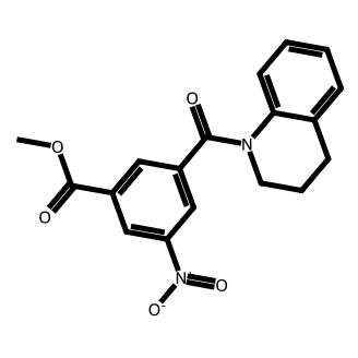 COC(=O)c1cc(C(=O)N2CCCc3ccccc32)cc([N+](=O)[O-])c1